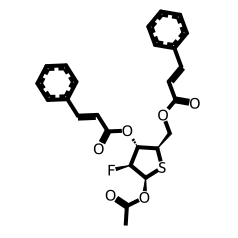 CC(=O)O[C@@H]1S[C@H](COC(=O)/C=C/c2ccccc2)[C@@H](OC(=O)/C=C/c2ccccc2)[C@@H]1F